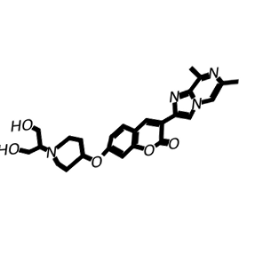 Cc1cn2cc(-c3cc4ccc(OC5CCN(C(CO)CO)CC5)cc4oc3=O)nc2c(C)n1